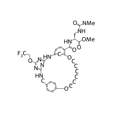 CNC(=O)NC[C@H](NC(=O)c1ccc2cc1OCCCCCCOc1ccc(cc1)CNc1nc(nc(OCC(F)(F)F)n1)N2)C(=O)OC